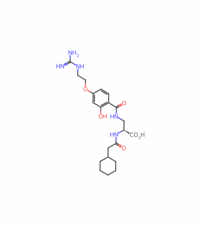 N=C(N)NCCOc1ccc(C(=O)NC[C@H](NC(=O)CC2CCCCC2)C(=O)O)c(O)c1